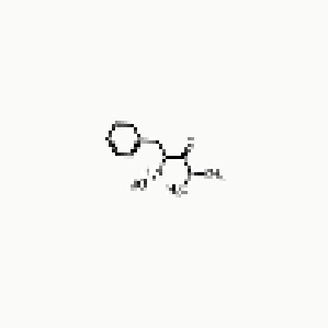 CN(C)C(=O)C(N)Cc1ccccc1.Cl